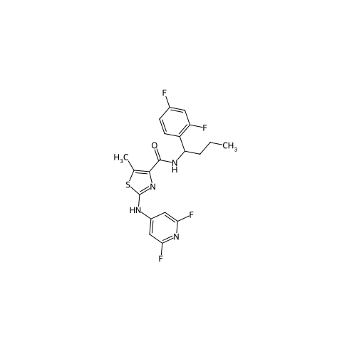 CCCC(NC(=O)c1nc(Nc2cc(F)nc(F)c2)sc1C)c1ccc(F)cc1F